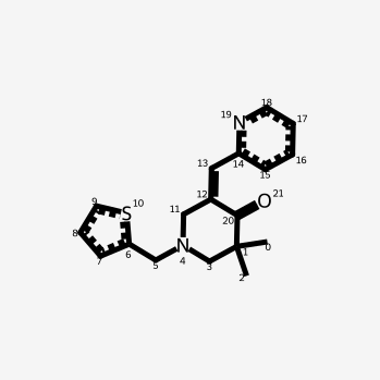 CC1(C)CN(Cc2cccs2)CC(=Cc2ccccn2)C1=O